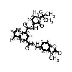 Cn1c(=O)oc2ccc(CNC(=O)c3cc(C(=O)N[C@H]4CCN(C(C)(C)C)C4=O)n4ncc(F)c4n3)cc21